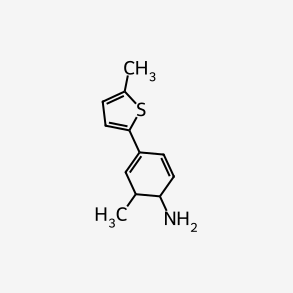 Cc1ccc(C2=CC(C)C(N)C=C2)s1